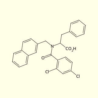 O=C(O)C(Cc1ccccc1)N(Cc1ccc2ccccc2c1)C(=O)c1ccc(Cl)cc1Cl